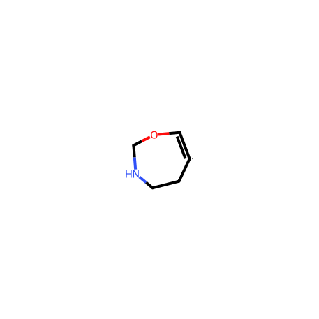 [C]1=COCNCC1